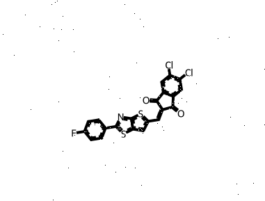 O=C1C(=Cc2cc3sc(-c4ccc(F)cc4)nc3s2)C(=O)c2cc(Cl)c(Cl)cc21